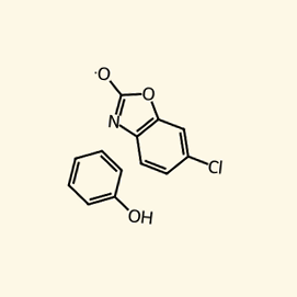 Oc1ccccc1.[O]c1nc2ccc(Cl)cc2o1